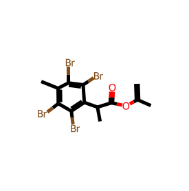 C=C(C)OC(=O)C(C)c1c(Br)c(Br)c(C)c(Br)c1Br